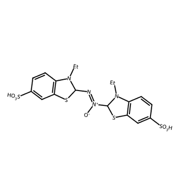 CCN1c2ccc(S(=O)(=O)O)cc2SC1N=[N+]([O-])C1Sc2cc(S(=O)(=O)O)ccc2N1CC